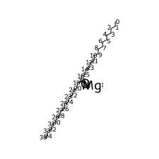 CCCCCCCCCCCCCCCCCC(=O)CCCCCCCCCCCCCCCCC.[Mg]